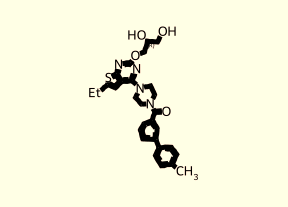 CCc1cc2c(N3CCN(C(=O)c4cccc(-c5ccc(C)cc5)c4)CC3)nc(OC[C@H](O)CO)nc2s1